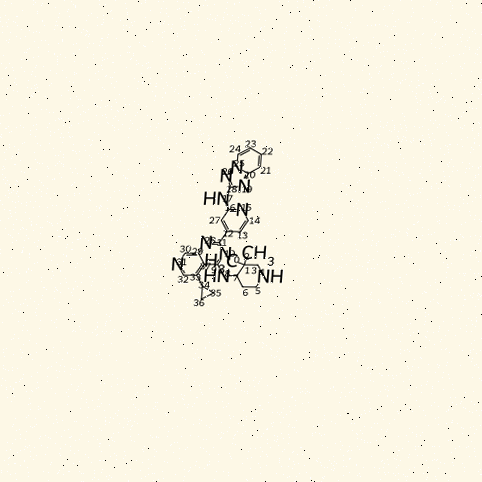 CC1(C)CNCCC1Nc1nc(-c2ccnc(Nc3nc4ccccn4n3)c2)nc2cncc(C3CC3)c12